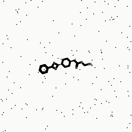 CCOC(=O)C[C@H]1CC[C@H](C2OC(c3ccccc3)O2)CC1